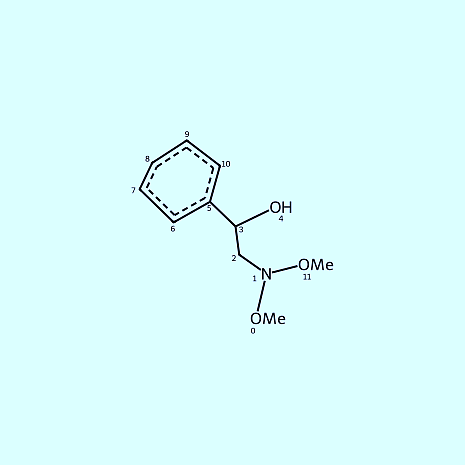 CON(CC(O)c1ccccc1)OC